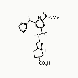 CNC(=O)c1cc(C(=O)NCCC2CCN(C(=O)O)CC2(F)F)cc([C@@H](C)c2ccccc2)n1